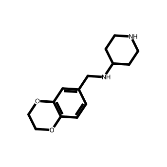 c1cc2c(cc1CNC1CCNCC1)OCCO2